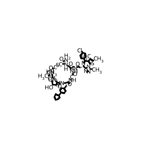 Cc1sc2c(c1C)C(c1ccc(Cl)cc1)=N[C@@H](CC(=O)NC[C@H]1NC(=O)CNC(=O)[C@H](Cc3ccc(-c4ccccc4)cc3)NC(=O)[C@@H]3C[C@@H](O)CN3C(=O)[C@H](C(C)(C)C)NC(=O)CSC[C@H](C(N)=O)NC1=O)c1nnc(C)n1-2